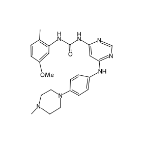 COc1ccc(C)c(NC(=O)Nc2cc(Nc3ccc(N4CCN(C)CC4)cc3)ncn2)c1